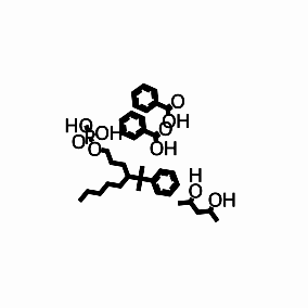 CC(O)CC(C)O.CCCCCC(CCCOP(=O)(O)O)C(C)(C)c1ccccc1.O=C(O)c1ccccc1.O=C(O)c1ccccc1